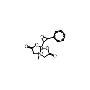 C[N+]12CC(=O)O[B-]1(C1OC1c1ccccc1)OC(=O)C2